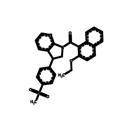 CCOc1ccc2ccccc2c1C(=O)N1CC(c2ccc(S(C)(=O)=O)cc2)c2cccnc21